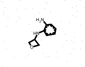 Nc1ccccc1NC1COC1